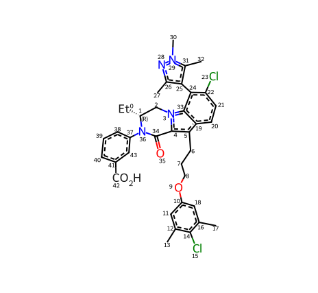 CC[C@@H]1Cn2c(c(CCCOc3cc(C)c(Cl)c(C)c3)c3ccc(Cl)c(-c4c(C)nn(C)c4C)c32)C(=O)N1c1cccc(C(=O)O)c1